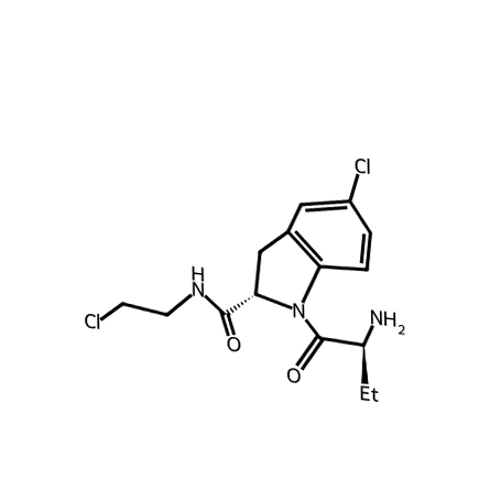 CC[C@H](N)C(=O)N1c2ccc(Cl)cc2C[C@H]1C(=O)NCCCl